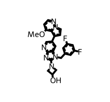 COc1ccnn2ccc(-c3cnc4nc(N5CC(O)C5)n(Cc5cc(F)cc(F)c5)c4c3)c12